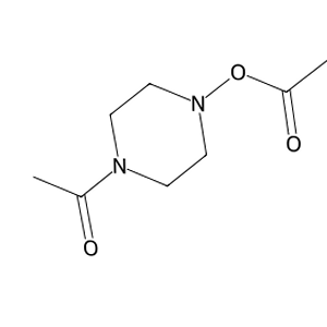 CC(=O)ON1CCN(C(C)=O)CC1